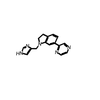 c1cnc(-c2ccc3c(c2)N(Cc2c[nH]cn2)CC3)cn1